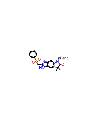 CCCCCN1C(=O)C(C)(C)c2cc3[nH]c(CS(=O)(=O)c4ccccc4)nc3cc21